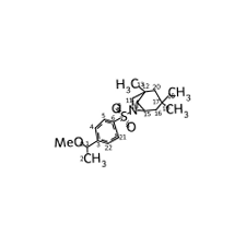 COC(C)c1ccc(S(=O)(=O)N2CC3(C)CC2CC(C)(C)C3)cc1